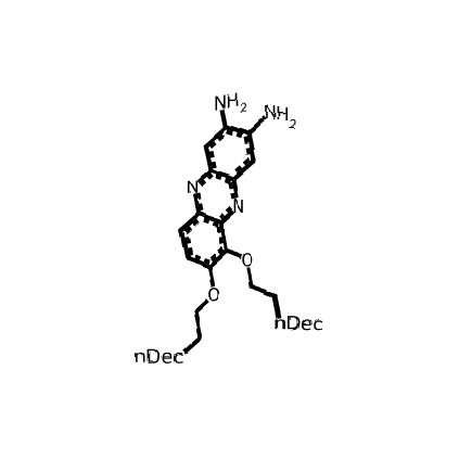 CCCCCCCCCCCCOc1ccc2nc3cc(N)c(N)cc3nc2c1OCCCCCCCCCCCC